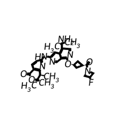 C[C@@H]1c2nc(Nc3cc4c(C(C)(C)N)cnc(O[C@H]5C[C@@H](C(=O)N6CC(F)C6)C5)c4cn3)ccc2C(=O)OC1(C)C